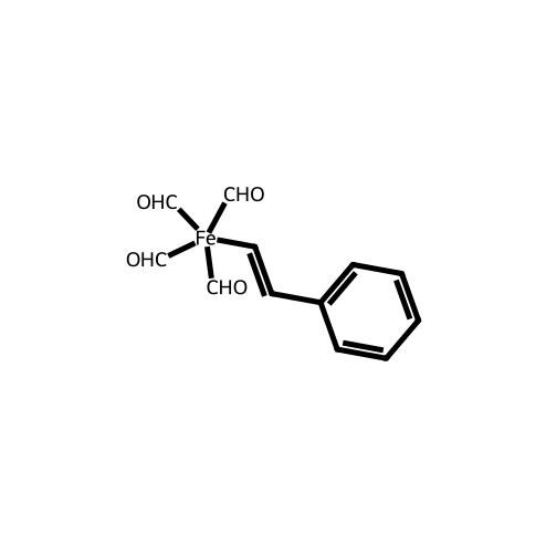 O=[CH][Fe]([CH]=O)([CH]=O)([CH]=O)[CH]=Cc1ccccc1